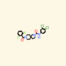 O=C(Nc1ccc(Cl)c(Cl)c1)N1CCC2(CCN(C(=O)c3c(F)cccc3F)CC2)C1